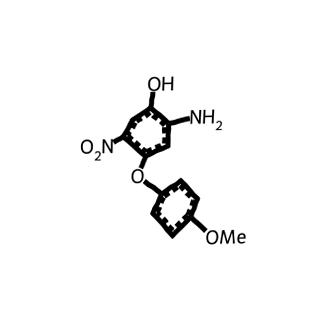 COc1ccc(Oc2cc(N)c(O)cc2[N+](=O)[O-])cc1